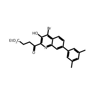 CCOC(=O)CCC(=O)c1nc2cc(-c3cc(C)cc(C)c3)ccc2c(Br)c1O